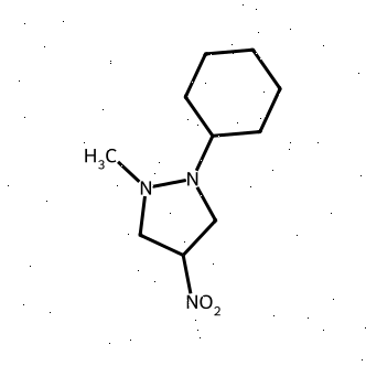 CN1CC([N+](=O)[O-])CN1C1CCCCC1